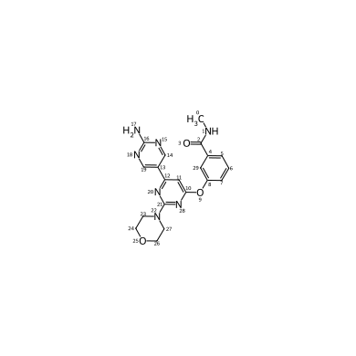 CNC(=O)c1cccc(Oc2cc(-c3cnc(N)nc3)nc(N3CCOCC3)n2)c1